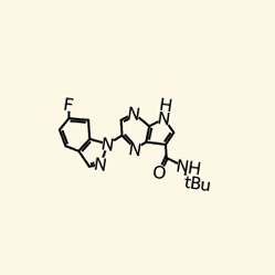 CC(C)(C)NC(=O)c1c[nH]c2ncc(-n3ncc4ccc(F)cc43)nc12